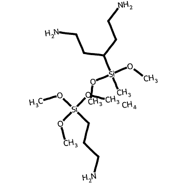 C.CO[Si](C)(OC)C(CCN)CCN.CO[Si](CCCN)(OC)OC